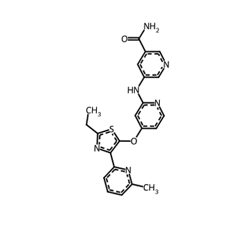 CCc1nc(-c2cccc(C)n2)c(Oc2ccnc(Nc3cncc(C(N)=O)c3)c2)s1